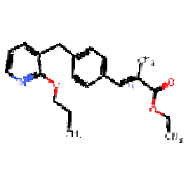 CCCOc1ncccc1Cc1ccc(/C=C(\C)C(=O)OCC)cc1